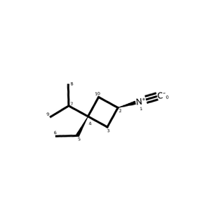 [C-]#[N+][C@H]1C[C@](CC)(C(C)C)C1